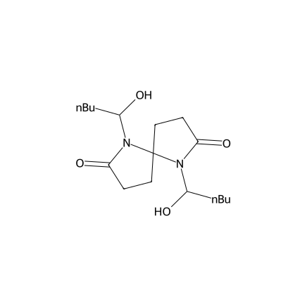 CCCCC(O)N1C(=O)CCC12CCC(=O)N2C(O)CCCC